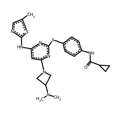 Cc1cnc(Nc2cc(N3CC(N(C)C)C3)nc(Sc3ccc(NC(=O)C4CC4)cc3)n2)s1